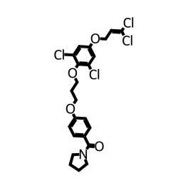 O=C(c1ccc(OCCCOc2c(Cl)cc(OCC=C(Cl)Cl)cc2Cl)cc1)N1CCCC1